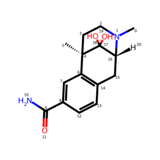 CN1CC[C@]2(C)c3cc(C(N)=O)ccc3C[C@@H]1C2(O)O